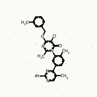 Cc1cccc(COc2nc(C)n(-c3cc(-c4nc(C(C)C)ncc4C)ccc3C)c(=O)c2Cl)c1